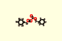 O=C(OCc1ccccc1)OOCc1ccccc1